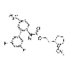 Cc1ccc(NC(=O)OCCC2CCCN2C)c(-c2cc(F)cc(F)c2)c1